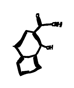 O=C(O)c1c[c]c2ccccc2c1O